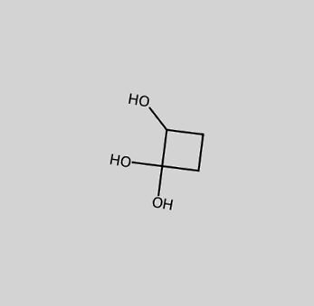 OC1CCC1(O)O